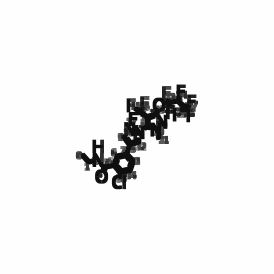 CCNC(=O)c1cc(-c2cnn(-c3c(C(F)(F)F)c(OC(F)(F)C(F)C(F)(F)F)nn3C)c2)ccc1Cl